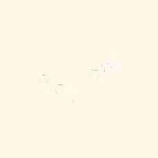 CCCc1cc(Oc2ccccc2)ccc1OCCCCc1ccc(C2(F)SC(=O)NC2=O)cc1